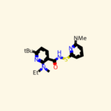 CCN(C)c1nc(C(C)(C)C)ccc1C(=O)NSc1cccc(NC)n1